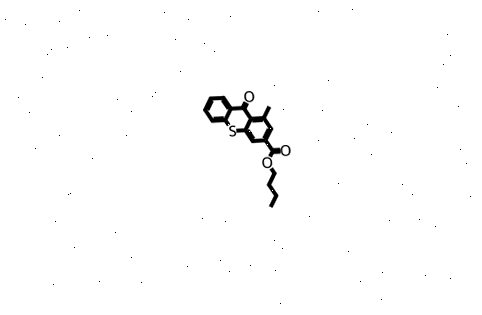 CCCCOC(=O)c1cc(C)c2c(=O)c3ccccc3sc2c1